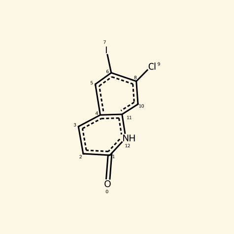 O=c1ccc2cc(I)c(Cl)cc2[nH]1